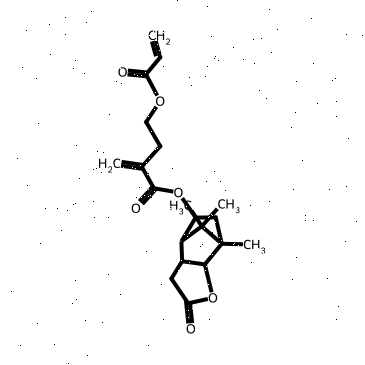 C=CC(=O)OCCC(=C)C(=O)OC1CC2(C)C3OC(=O)CC3C1C2(C)C